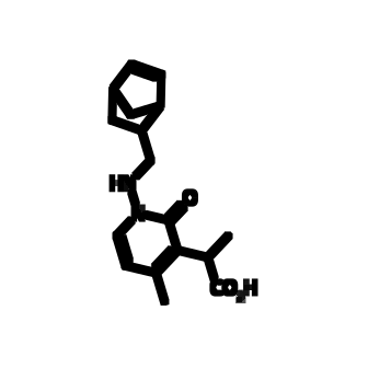 Cc1ccn(NCC2CC3C=CC2C3)c(=O)c1C(C)C(=O)O